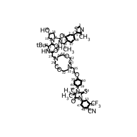 Cc1ncsc1-c1ccc([C@H](C)NC(=O)[C@@H]2C[C@@H](O)CN2C(=O)C(NC(=O)CN2CCOCCN(CCOc3ccc(N4C(=S)N(c5ccc(C#N)c(C(F)(F)F)c5)C(=O)C4(C)C)cc3)CCOCC2)C(C)(C)C)cc1